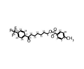 Cc1ccc(S(=O)(=O)OCCCCCCC(=O)c2ccc(C(F)(F)F)cc2)cc1